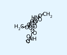 C=CCOC(=O)Nc1ccn([C@@H]2O[C@H](COC(=O)CCC(=O)Nc3ccccc3)[C@@H](OC(=O)OCC=C)C2(F)F)c(=O)n1